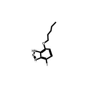 CCCCCOc1ccc(I)c2nn[nH]c12